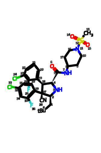 CC(C)(C)C[C@@H]1N[C@@H](C(=O)NC2CCN(S(C)(=O)=O)CC2)[C@H](c2cccc(Cl)c2F)[C@@]1(C#N)c1ccc(Cl)cc1F